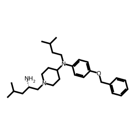 CC(C)CCN(c1ccc(OCc2ccccc2)cc1)C1CCN(C[C@@H](N)CC(C)C)CC1